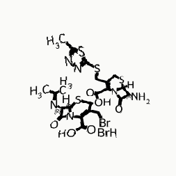 Br.CC(C)=N[C@@H]1C(=O)N2C(C(=O)O)=C(CBr)CS[C@H]12.Cc1nnc(SCC2=C(C(=O)O)N3C(=O)[C@@H](N)[C@H]3SC2)s1